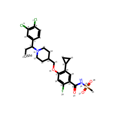 COCC(c1ccc(Cl)c(Cl)c1)N1CCC(COc2cc(F)c(C(=O)NS(C)(=O)=O)cc2C2CC2)CC1